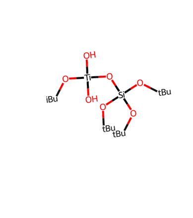 CCC(C)[O][Ti]([OH])([OH])[O][Si](OC(C)(C)C)(OC(C)(C)C)OC(C)(C)C